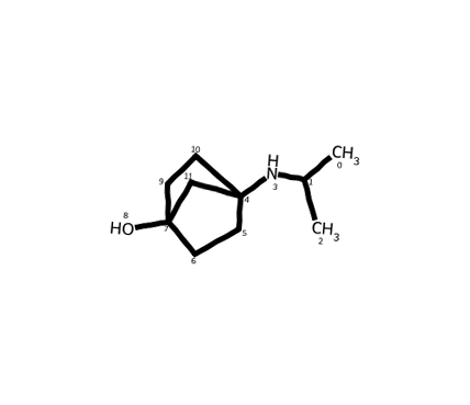 CC(C)NC12CCC(O)(CC1)C2